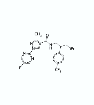 Cc1nn(-c2ncc(F)cn2)cc1C(=O)NCC(CC(C)C)c1ccc(C(F)(F)F)cc1